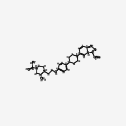 COc1nnc2ccc(N3CCC(c4ccc(OCCN5CCN(C(=O)C(C)C)CC5C)cc4)CC3)nn12